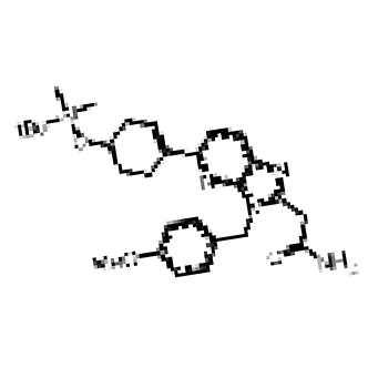 COc1ccc(Cn2c(CC(N)=O)nc3ccc(C4=CCC(O[Si](C)(C)C(C)(C)C)CC4)nc32)cc1